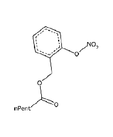 CCCCCC(=O)OCc1ccccc1O[N+](=O)[O-]